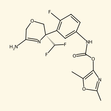 Cc1nc(OC(=O)Nc2ccc(F)c([C@]3(C(F)F)COCC(N)=N3)c2)c(C)o1